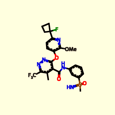 COc1nc(C2(F)CCC2)ccc1Oc1nnc(C(F)(F)F)c(C)c1C(=O)Nc1cccc(S(C)(=N)=O)c1